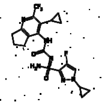 NS(=O)(=NC(=O)Nc1c2c(nc(C(F)(F)F)c1C1CC1)CCC2)c1nn(C2CC2)cc1F